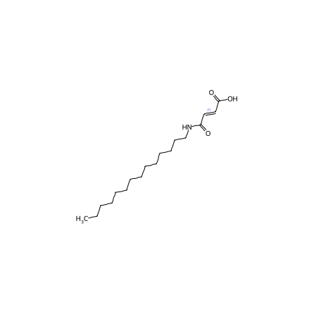 CCCCCCCCCCCCCCNC(=O)/C=C/C(=O)O